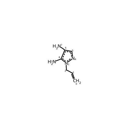 C=CCn1ncc(N)c1N